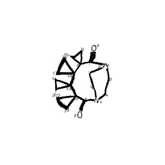 O=C1N2CCN(CC2)C(=O)C2(CC2)C2(CC2)C2(CC2)C12CC2